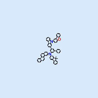 CC1(C)c2ccccc2-c2ccc(N(c3cc(-c4ccccc4)cc(-c4ccc5c6ccccc6n(-c6ccc7oc8ccccc8c7c6)c5c4)c3)c3ccc4ccc5c6ccccc6ccc5c4c3)cc21